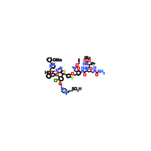 C#CCOC(=O)N(C)Cc1cc(NC(=O)C(CCCNC(N)=O)NC(=O)C(NC(=O)OC(C)(C)C)C(C)C)ccc1COc1cc(-c2sc3ncnc(O[C@H](Cc4ccccc4OCc4ccnc(-c5ccccc5OC)n4)C(=O)O)c3c2-c2ccc(OCCN3CC[N+](C)(CCCS(=O)(=O)O)CC3)c(Cl)c2C)ccc1F